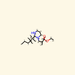 CCCC(C)(C)[Si](C)(C)C1NCCCN1CC(C)C(=O)OCC